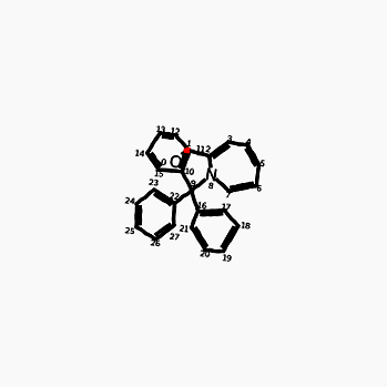 O=CC1=CC=CC=CN1C(c1ccccc1)(c1ccccc1)c1ccccc1